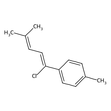 CC(C)=C/C=C(\Cl)c1ccc(C)cc1